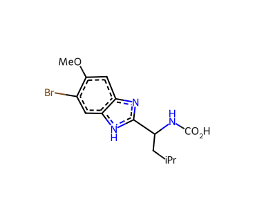 COc1cc2nc(C(CC(C)C)NC(=O)O)[nH]c2cc1Br